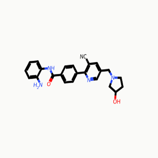 N#Cc1cc(CN2CCC(O)C2)cnc1-c1ccc(C(=O)Nc2ccccc2N)cc1